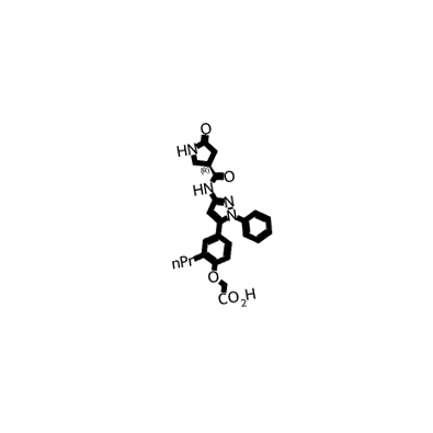 CCCc1cc(-c2cc(NC(=O)[C@H]3CNC(=O)C3)nn2-c2ccccc2)ccc1OCC(=O)O